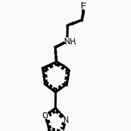 FCCNCc1ccc(-c2nnco2)cc1